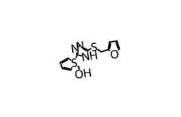 OCS1(c2nnc(SCc3ccco3)[nH]2)C=CC=C1